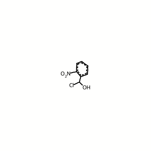 O=[N+]([O-])c1ccccc1C(O)Cl